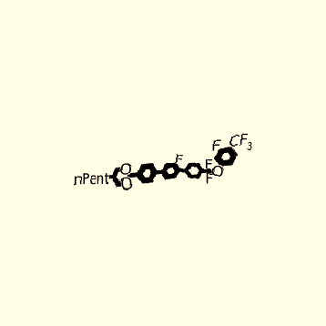 CCCCCC1COC(c2ccc(-c3ccc(C4CCC(C(F)(F)Oc5ccc(C(F)(F)F)c(F)c5)CC4)c(F)c3)cc2)OC1